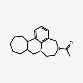 CC(=O)N1CCN2CC3CCCCCC3c3cccc(c32)C1